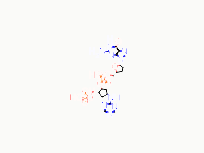 Nc1nc2c(ncn2[C@H]2CC[C@@H](COP(=O)(O)O[C@H]3C[C@H](Nc4ncncn4)C[C@@H]3COP(=O)(O)O)O2)c(=O)[nH]1